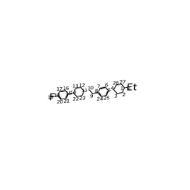 CC[C@H]1CC[C@H](c2ccc(CC[C@H]3CC[C@H](c4ccc(F)cc4)CC3)cc2)CC1